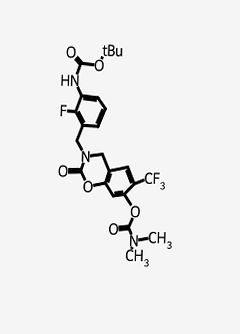 CN(C)C(=O)Oc1cc2c(cc1C(F)(F)F)CN(Cc1cccc(NC(=O)OC(C)(C)C)c1F)C(=O)O2